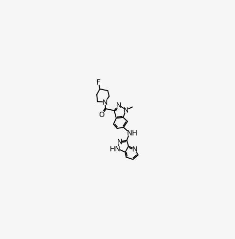 Cn1nc(C(=O)N2CCC(F)CC2)c2ccc(Nc3n[nH]c4cccnc34)cc21